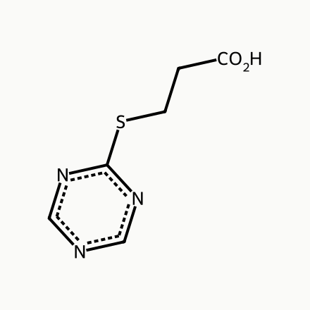 O=C(O)CCSc1ncncn1